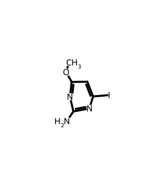 COc1cc(I)nc(N)n1